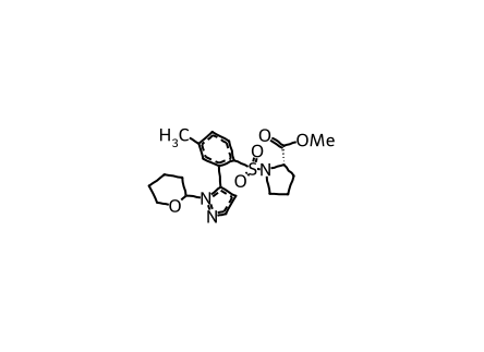 COC(=O)[C@@H]1CCCN1S(=O)(=O)c1ccc(C)cc1-c1ccnn1C1CCCCO1